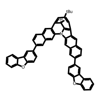 C[C@H]1C2=CC(C(C)(C)C)=Cc3c1n(c1cc4cc(-c5ccc6oc7ccccc7c6c5)ccc4cc31)-c1cc3cc(-c4ccc5oc6ccccc6c5c4)ccc3cc12